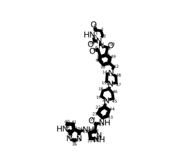 O=C1CCN(N2C(=O)c3ccc(CN4CCN(C5CCN(c6ccc(NC(=O)c7n[nH]cc7Nc7ncnc8[nH]ccc78)cc6)CC5)CC4)cc3C2=O)C(=O)N1